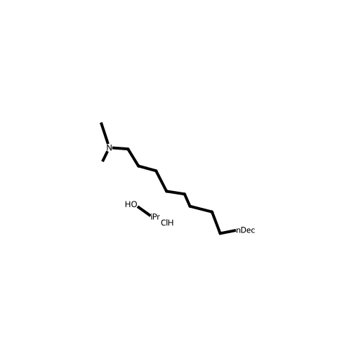 CC(C)O.CCCCCCCCCCCCCCCCCCN(C)C.Cl